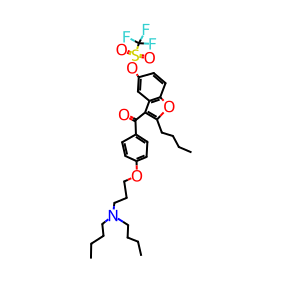 CCCCc1oc2ccc(OS(=O)(=O)C(F)(F)F)cc2c1C(=O)c1ccc(OCCCN(CCCC)CCCC)cc1